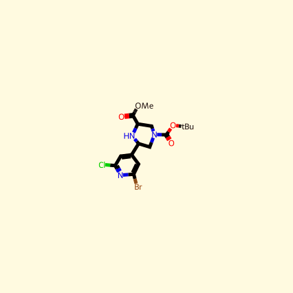 COC(=O)C1CN(C(=O)OC(C)(C)C)CC(c2cc(Cl)nc(Br)c2)N1